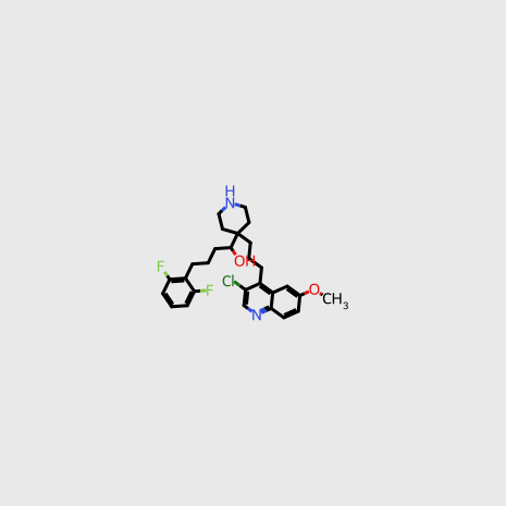 COc1ccc2ncc(Cl)c(CCCC3(C(O)CCCc4c(F)cccc4F)CCNCC3)c2c1